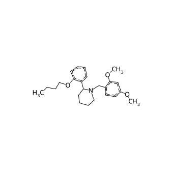 CCCCOc1ccccc1C1CCCCN1Cc1ccc(OC)cc1OC